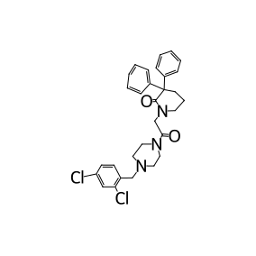 O=C(CN1CCCC(c2ccccc2)(c2ccccc2)C1=O)N1CCN(Cc2ccc(Cl)cc2Cl)CC1